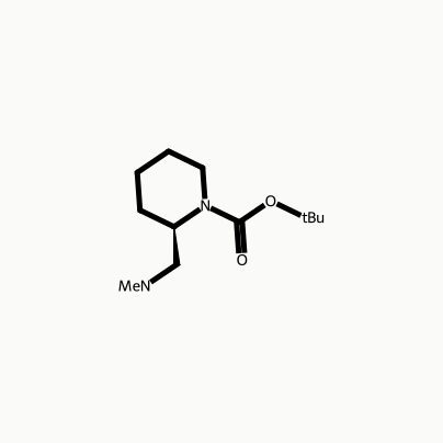 CNC[C@H]1CCCCN1C(=O)OC(C)(C)C